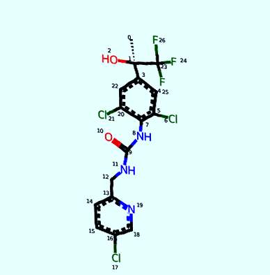 C[C@@](O)(c1cc(Cl)c(NC(=O)NCc2ccc(Cl)cn2)c(Cl)c1)C(F)(F)F